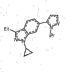 CCc1nn(C2CC2)c2cc(-c3ccnn3C(C)C)ccc12